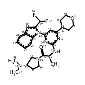 C[C@H](Nc1nc(N2CCOCC2)cc(-n2c(C(F)F)nc3ccccc32)n1)C(=O)N1CC[C@H](N(C)C)C1